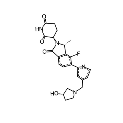 C[C@@H]1c2c(ccc(-c3cc(CN4CC[C@H](O)C4)ccn3)c2F)C(=O)N1[C@@H]1CCC(=O)NC1=O